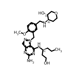 CCC[C@@H](CCO)Nc1nc(N)nc2cnn(Cc3cc(CN[C@@H]4CCOC[C@H]4O)ccc3OC)c12